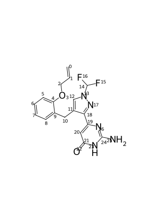 C=CCOc1ccccc1Cc1cn(C(F)F)nc1-c1cc(=O)[nH]c(N)n1